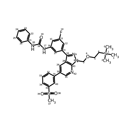 C[Si](C)(C)CCOCn1nc(-c2cc(F)cc(NC(=O)Nc3ccccc3)c2)c2cc(-c3cccc(S(C)(=O)=O)c3)cnc21